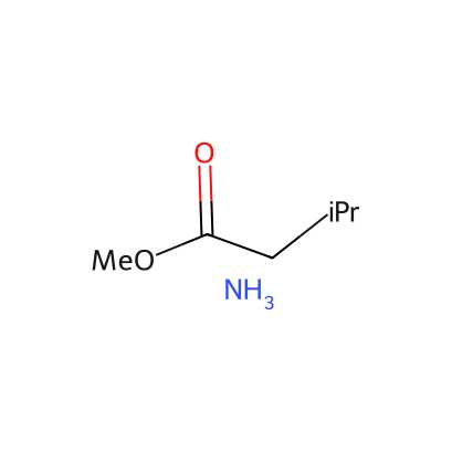 COC(=O)CC(C)C.N